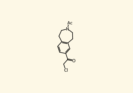 CC(=O)N1CCc2ccc(C(=O)CCl)cc2CC1